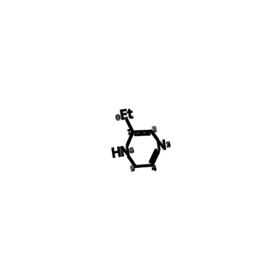 CCC1=CN=CCN1